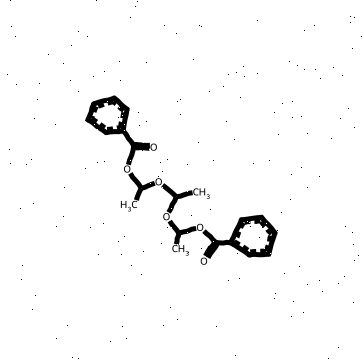 CC(OC(=O)c1ccccc1)OC(C)OC(C)OC(=O)c1ccccc1